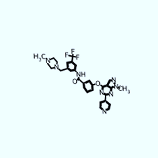 CN1CCN(Cc2cc(NC(=O)c3cccc(Oc4nc(-c5ccncc5)nc5c4cnn5C)c3)cc(C(F)(F)F)c2)CC1